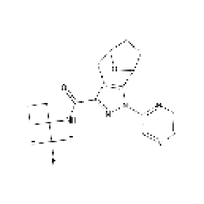 O=C(NC1(C(F)(F)F)CCC1)c1nn(-c2cnccn2)c2c1CC1CCC2O1